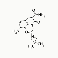 CC1(C)CN(C(=O)Cn2c(=O)c(C(N)=O)cc3ccc(N)nc32)C1